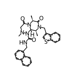 C[C@H]1[C@H]2N(C(=O)CN(C)N2C(=O)NCc2cccc3ccccc23)[C@@H](C)C(=O)N1Cc1csc2ccccc12